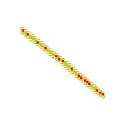 S=S=S=S=S=S=S=S=S=S=S=S=S=S=S=S=S=S=S=S=S=S=S=S=S=S=S=S=S=S=S=S=S=S=S=S=S=S=S=S=S=S=S=S=S=S=S=S=S=S=S=S=S=S=S=S=S=S=S=S=S=S=S=S=S=S=S=S=S=S=S=S=S=S=S